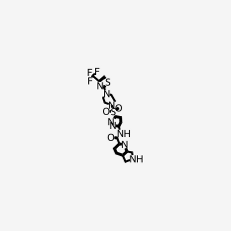 O=C(Nc1ccc(S(=O)(=O)N2CCN(c3nc(C(F)(F)F)cs3)CC2)nn1)c1ccc2c(n1)CNC2